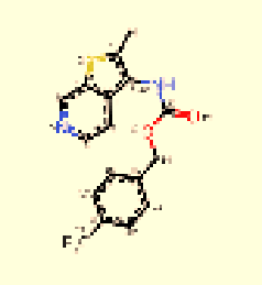 Cc1sc2cnccc2c1NC(=O)OCc1ccc(C(F)(F)F)cc1